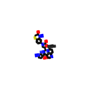 COc1ccc2nccc([C@H](NCC3CN(c4ccc5c(c4)NC(=O)CS5)C(=O)O3)C3(O)CCNC3)c2n1